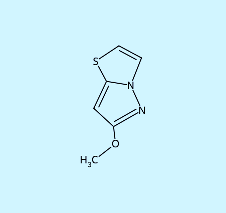 COc1cc2sccn2n1